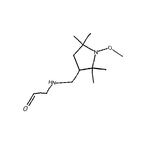 CON1C(C)(C)CC(CNCC=O)C1(C)C